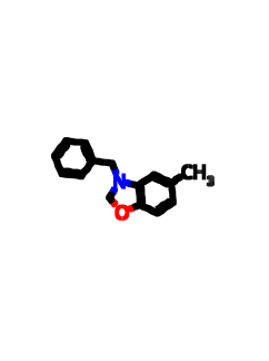 Cc1ccc2c(c1)N(Cc1ccccc1)CO2